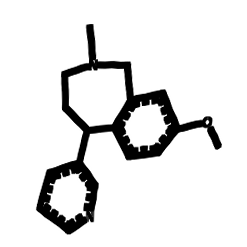 COc1ccc2c(c1)CN(C)CCC2c1cccnc1